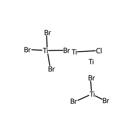 [Br][Ti]([Br])([Br])[Br].[Br][Ti]([Br])[Br].[Cl][Ti].[Ti]